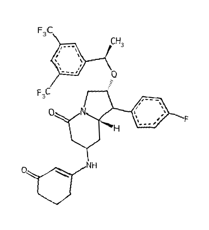 C[C@@H](O[C@H]1CN2C(=O)CC(NC3=CC(=O)CCC3)C[C@H]2C1c1ccc(F)cc1)c1cc(C(F)(F)F)cc(C(F)(F)F)c1